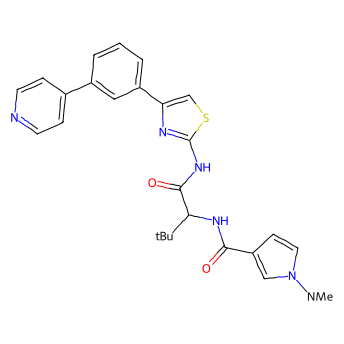 CNn1ccc(C(=O)NC(C(=O)Nc2nc(-c3cccc(-c4ccncc4)c3)cs2)C(C)(C)C)c1